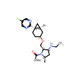 COC(=O)N1[C@H](C)C[C@H](NCC(F)(F)F)[C@@H]1CO[C@H]1CC[C@@]2(c3ncc(F)cn3)C[C@H]2C1